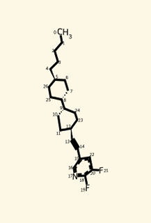 CCCCC[C@H]1CC[C@H]([C@H]2CC[C@H](C#Cc3cnc(F)c(F)c3)CC2)CC1